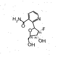 NC(=O)c1cccnc1C1O[C@H](CO)[C@@H](O)[C@H]1F